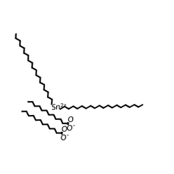 CCCCCCCCCCCC(=O)[O-].CCCCCCCCCCCC(=O)[O-].CCCCCCCCCCCCCCCCCCC[CH2][Sn+2][CH2]CCCCCCCCCCCCCCCCCCC